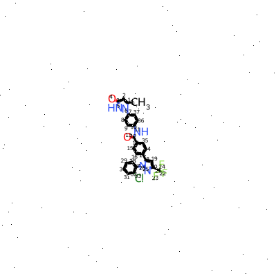 Cc1cc(=O)[nH]n1-c1ccc(NC(=O)c2ccc(-c3cc(C(F)(F)F)nn3-c3ccccc3Cl)cc2)cc1